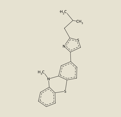 [CH2]C(C)Cc1nc(-c2ccc3c(c2)N(C)c2ccccc2S3)cs1